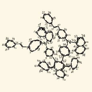 C(=C\c1ccc(N(c2ccc(-c3c(-c4ccc(N(c5ccc(/C=C/c6ccccc6)cc5)c5cccc6ccccc56)cc4)c(-c4ccccc4)c4ccccc4c3-c3ccccc3)cc2)c2cccc3ccccc23)cc1)/c1ccccc1